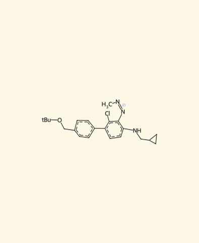 C/N=N\c1c(NCC2CC2)ccc(-c2ccc(COC(C)(C)C)cc2)c1Cl